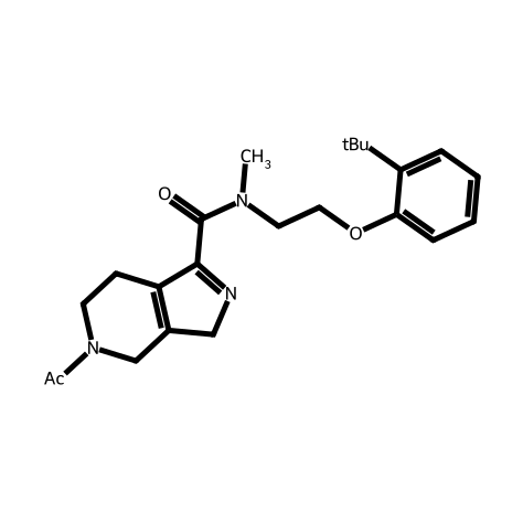 CC(=O)N1CCC2=C(CN=C2C(=O)N(C)CCOc2ccccc2C(C)(C)C)C1